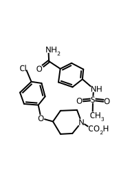 CS(=O)(=O)Nc1ccc(C(N)=O)cc1.O=C(O)N1CCC(Oc2ccc(Cl)cc2)CC1